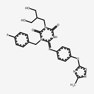 Cc1nsc(Oc2ccc(/N=c3\[nH]c(=O)n(CC(CO)CO)c(=O)n3Cc3ccc(F)cc3)cc2)n1